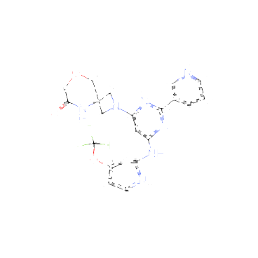 O=C1COCC2(CN(c3cc(Nc4cc(OC(F)(F)F)ccn4)nc(-c4cccnc4)n3)C2)N1